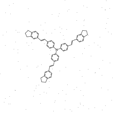 C(=C\c1ccc2c(c1)CCC2)/c1ccc(N(c2ccc(/C=C/c3ccc4c(c3)CCC4)cc2)c2ccc(/C=C/c3ccc4c(c3)CCC4)cc2)cc1